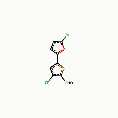 O=Cc1sc(-c2ccc(Br)o2)cc1Cl